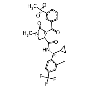 CN1CC(C(=O)N[C@@H](c2ccc(C(F)(F)F)cc2F)C2CC2)N(C(=O)c2cccc(S(C)(=O)=O)c2)C1=O